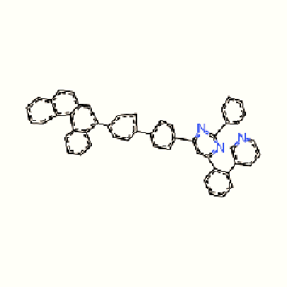 c1ccc(-c2nc(-c3ccc(-c4ccc(-c5cc6ccc7ccccc7c6c6ccccc56)cc4)cc3)cc(-c3ccccc3-c3cccnc3)n2)cc1